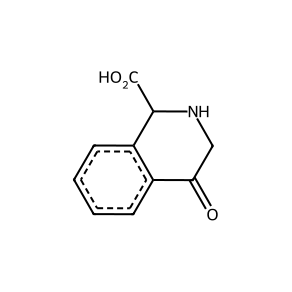 O=C1CNC(C(=O)O)c2ccccc21